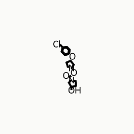 O=C(ON1CCC(Oc2ccc(Cl)cc2)C1)N1CCC(O)C1